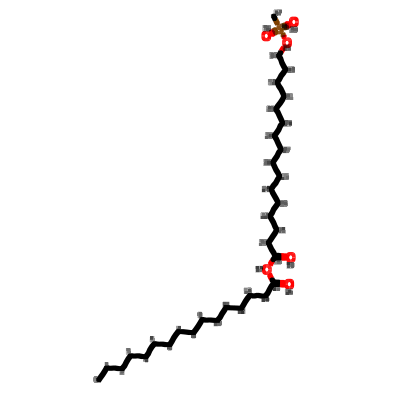 CCCCCCCCCCCCCCCC(=O)OC(=O)CCCCCCCCCCCCCCCOS(C)(=O)=O